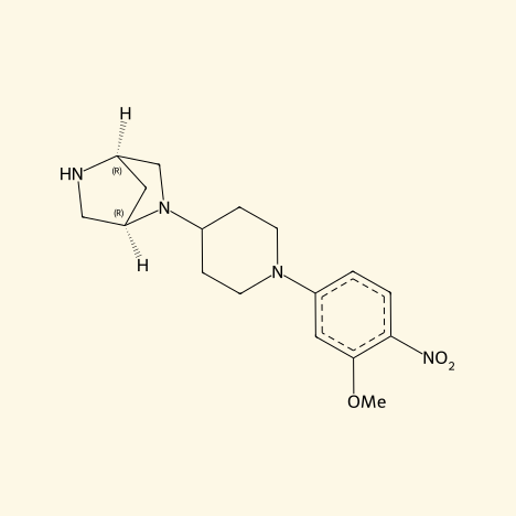 COc1cc(N2CCC(N3C[C@H]4C[C@@H]3CN4)CC2)ccc1[N+](=O)[O-]